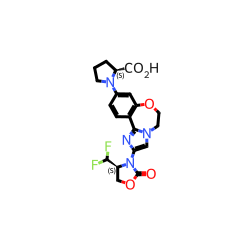 O=C(O)[C@@H]1CCCN1c1ccc2c(c1)OCCn1cc(N3C(=O)OC[C@H]3C(F)F)nc1-2